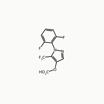 O=C(O)Oc1cnn(-c2c(F)cccc2F)c1C(F)(F)F